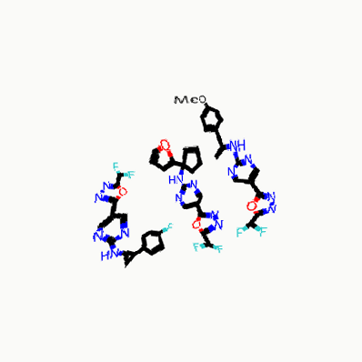 COc1ccc(C(C)Nc2ncc(-c3nnc(C(F)F)o3)cn2)cc1.FC(F)c1nnc(-c2cnc(NC3(c4ccco4)CCCC3)nc2)o1.Fc1ccc(C2CC2Nc2ncc(-c3nnc(C(F)F)o3)cn2)cc1